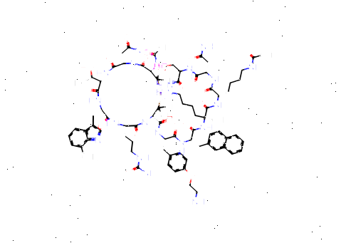 CC(=O)NCCCC[C@H](NC(=O)[C@](C)(CCCCN)NC(=O)[C@H](Cc1ccc2ccccc2c1)NC(=O)[C@H](Cc1ccc(OCCN)cc1)NC(=O)[C@H]1NC(=O)[C@H](CCCNC(N)=O)NC(=O)[C@H](Cc2c[nH]c3c(C)cccc23)NC(=O)[C@H]([C@@H](C)O)NC(=O)[C@H](CC(N)=O)NC(=O)[C@@H](NC(C)=O)C(C)(C)SSC1(C)C)C(=O)N[C@@H](CC(N)=O)C(=O)NC(CO)C(N)=O